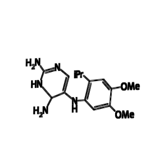 COc1cc(NC2=CN=C(N)NC2N)c(C(C)C)cc1OC